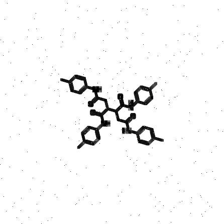 Cc1ccc(NC(=O)CC(C(=O)Nc2ccc(C)cc2)C(CC(=O)Nc2ccc(C)cc2)C(=O)Nc2ccc(C)cc2)cc1